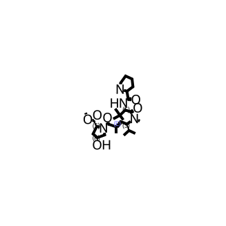 COC(=O)[C@@H]1C[C@@H](O)CN1C(=O)/C(C)=C/[C@H](C(C)C)N(C)C(=O)[C@@H](NC(=O)C1CCCCN1C)C(C)(C)C